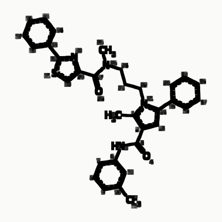 Cc1c(C(=O)Nc2cccc(C(F)(F)F)c2)cc(-c2ccccc2)n1CCCN(C)C(=O)c1csc(-c2ccccc2)n1